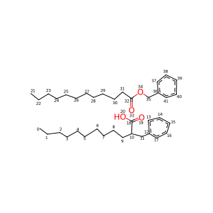 CCCCCCCCCCC(Cc1ccccc1)C(=O)O.CCCCCCCCCCCC(=O)OCc1ccccc1